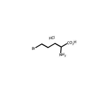 Cl.NC(CCCBr)C(=O)O